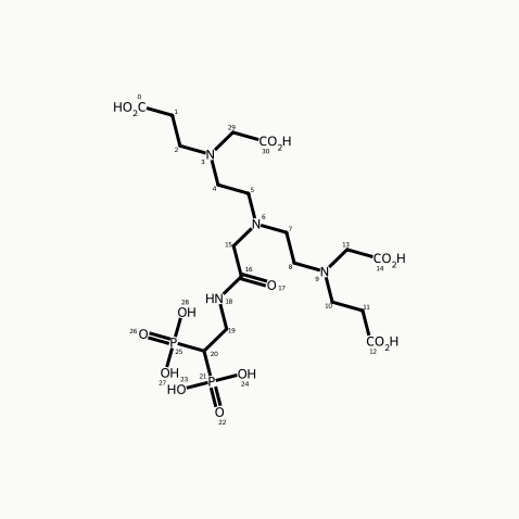 O=C(O)CCN(CCN(CCN(CCC(=O)O)CC(=O)O)CC(=O)NCC(P(=O)(O)O)P(=O)(O)O)CC(=O)O